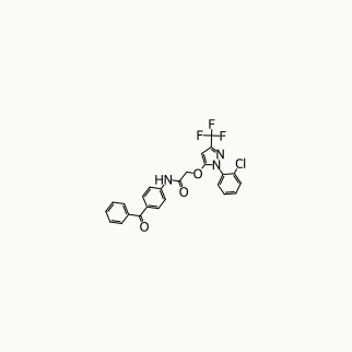 O=C(COc1cc(C(F)(F)F)nn1-c1ccccc1Cl)Nc1ccc(C(=O)c2ccccc2)cc1